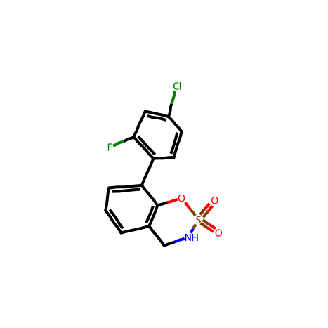 O=S1(=O)NCc2cccc(-c3ccc(Cl)cc3F)c2O1